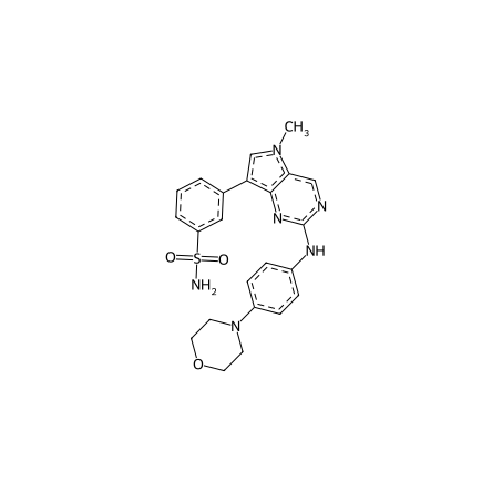 Cn1cc(-c2cccc(S(N)(=O)=O)c2)c2nc(Nc3ccc(N4CCOCC4)cc3)ncc21